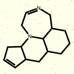 C1=CC2CC3CCCC4CN=CCN(C2C1)C43